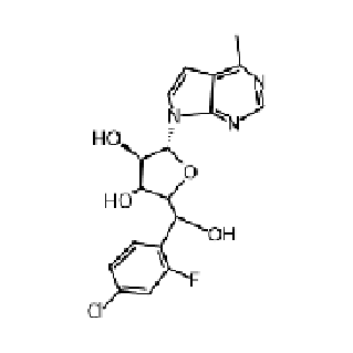 Cc1ncnc2c1ccn2[C@@H]1OC(C(O)c2ccc(Cl)cc2F)[C@@H](O)[C@H]1O